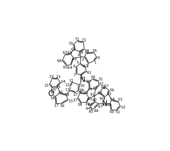 c1ccc(C2(c3ccc(N(c4ccc(-c5cccc6oc7ccccc7c56)cc4)c4cccc5c4-c4ccccc4C54c5ccccc5-n5c6ccccc6c6cccc4c65)cc3)c3ccccc3-c3ccccc32)cc1